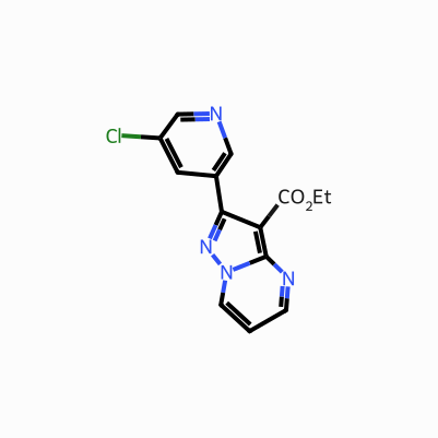 CCOC(=O)c1c(-c2cncc(Cl)c2)nn2cccnc12